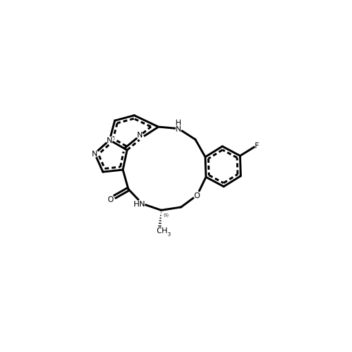 C[C@H]1COc2ccc(F)cc2CNc2ccn3ncc(c3n2)C(=O)N1